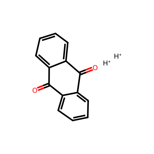 O=C1c2ccccc2C(=O)c2ccccc21.[H+].[H+]